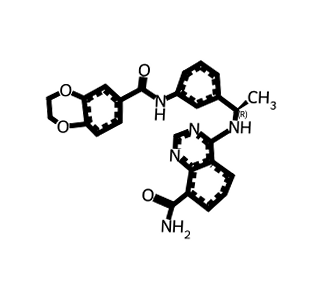 C[C@@H](Nc1ncnc2c(C(N)=O)cccc12)c1cccc(NC(=O)c2ccc3c(c2)OCCO3)c1